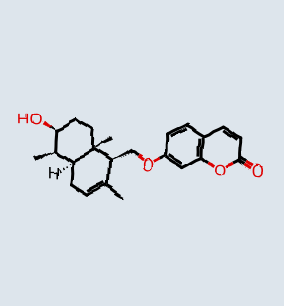 CC1=CC[C@H]2[C@@H](C)[C@@H](O)CC[C@]2(C)[C@H]1COc1ccc2ccc(=O)oc2c1